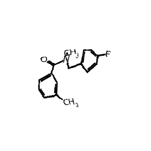 Cc1cccc(C(=O)N(C)Cc2ccc(F)cc2)c1